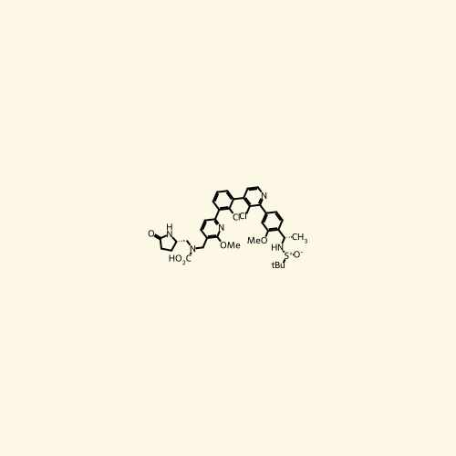 COc1cc(-c2nccc(-c3cccc(-c4ccc(CN(C[C@@H]5CCC(=O)N5)C(=O)O)c(OC)n4)c3Cl)c2Cl)ccc1[C@H](C)N[S+]([O-])C(C)(C)C